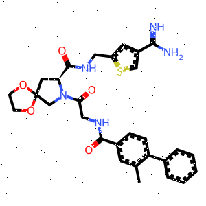 Cc1cc(C(=O)NCC(=O)N2CC3(C[C@H]2C(=O)NCc2cc(C(=N)N)cs2)OCCO3)ccc1-c1ccccc1